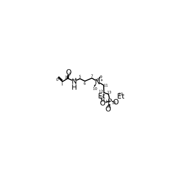 C=CC(=O)NCCC[N+](C)(C)CCCP(=O)(OCC)OCC